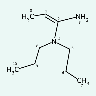 CC=C(N)N(CCC)CCC